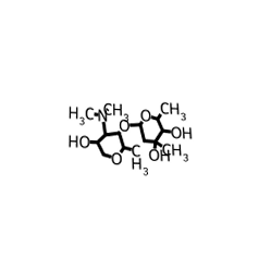 CC1OCC(O)C(N(C)C)C1OC1CC(C)(O)C(O)C(C)O1